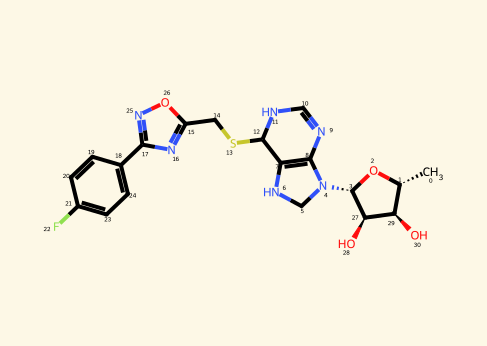 C[C@H]1O[C@@H](N2CNC3=C2N=CNC3SCc2nc(-c3ccc(F)cc3)no2)[C@H](O)[C@@H]1O